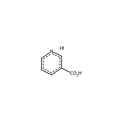 I.O=C(O)c1cccnc1